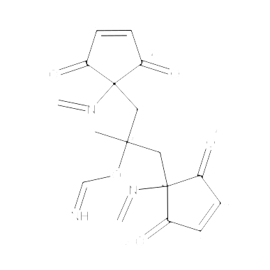 C=NC1(CC(C)(CC2(N=C)C(=O)C=CC2=O)OC=N)C(=O)C=CC1=O